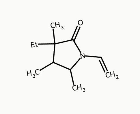 C=CN1C(=O)C(C)(CC)C(C)C1C